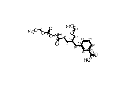 CCOC(=O)ONC(=O)CCC(COCO)Cc1cccc(C(=O)O)c1